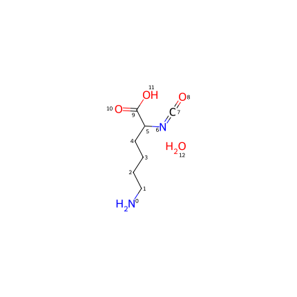 NCCCCC(N=C=O)C(=O)O.O